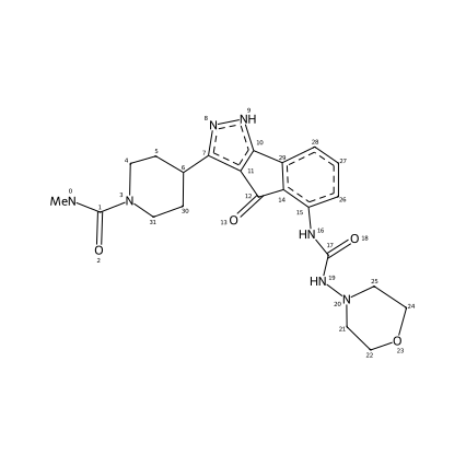 CNC(=O)N1CCC(c2n[nH]c3c2C(=O)c2c(NC(=O)NN4CCOCC4)cccc2-3)CC1